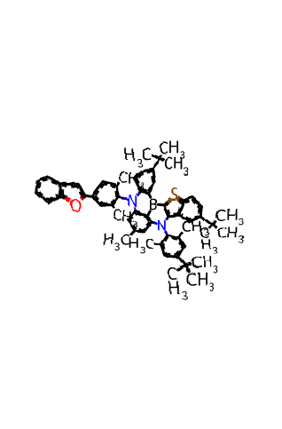 Cc1cc2c3c(c1)N(c1c(C)cc(C(C)(C)C)cc1C)c1c(sc4ccc(C(C)(C)C)cc14)B3c1cc(C(C)(C)C)ccc1N2c1c(C)cc(-c2cc3ccccc3o2)cc1C